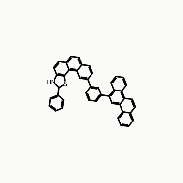 c1ccc(C2Nc3ccc4ccc5ccc(-c6cccc(-c7cc8c9ccccc9ccc8c8ccccc78)c6)cc5c4c3S2)cc1